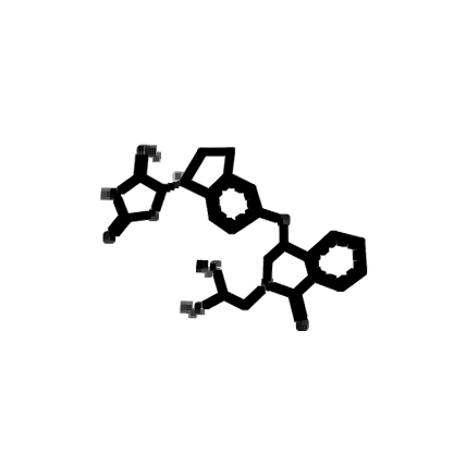 C=C1NC(=O)SC1[C@@H]1CCc2cc(OC3CN(CC(C)C)C(=O)c4ccccc43)ccc21